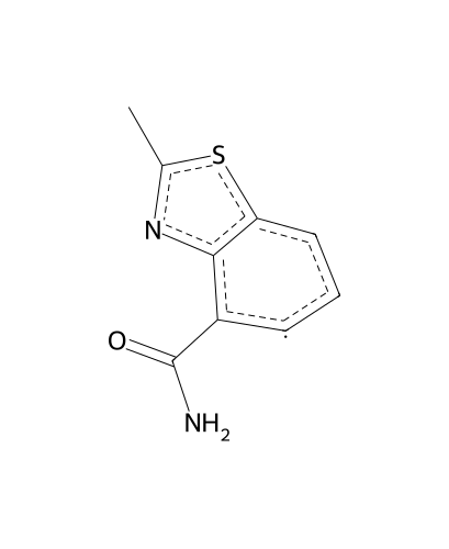 Cc1nc2c(C(N)=O)[c]ccc2s1